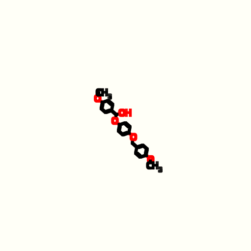 COc1ccc(COc2ccc(OC(O)c3ccc(OC)cc3)cc2)cc1